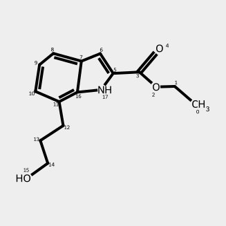 CCOC(=O)c1cc2cccc(CCCO)c2[nH]1